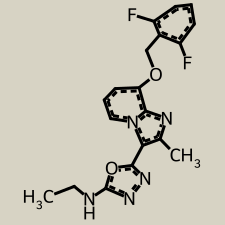 CCNc1nnc(-c2c(C)nc3c(OCc4c(F)cccc4F)cccn23)o1